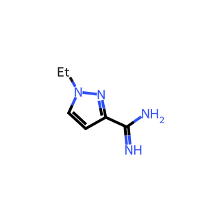 CCn1ccc(C(=N)N)n1